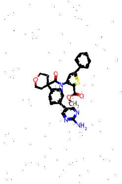 COC(=O)c1sc(-c2ccccc2)cc1NC(=O)C1(c2ccc(-c3cnc(N)nc3)cc2)CCOCC1